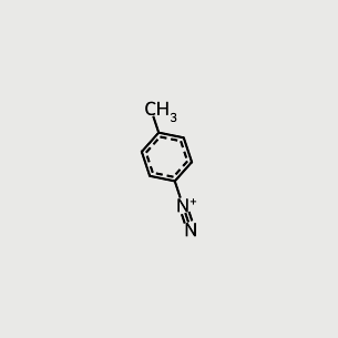 Cc1ccc([N+]#N)cc1